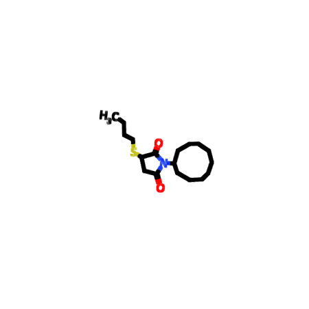 CCCCSC1CC(=O)N(C2CCCCCCCCC2)C1=O